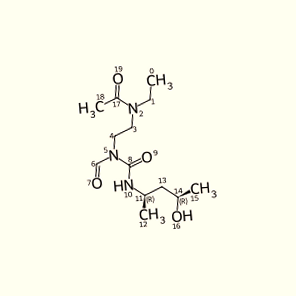 CCN(CCN(C=O)C(=O)N[C@H](C)C[C@@H](C)O)C(C)=O